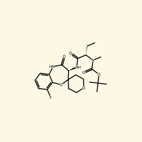 CC[C@@H](C(=O)N[C@@H]1C(=O)Nc2cccc(F)c2OC12CCOCC2)N(C)C(=O)OC(C)(C)C